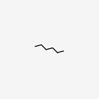 C[CH]C[CH]CC